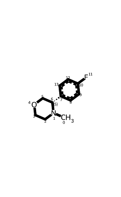 CN1CCOC[C@@H]1c1ccc(F)cc1